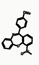 COc1ccc(C2=Nc3ccccc3Oc3c2cccc3[S+](C)[O-])cc1